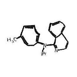 Cc1cccc(N(c2nccc3ccccc23)C(C)C)c1